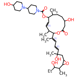 CCC(O)C(C)C1OC1CC(C)(O)/C=C/C=C(\C)C1OC(=O)CC(O)CCC(C)C(OC(=O)N2CCC(N3CCC(O)CC3)CC2)/C=C/C1C